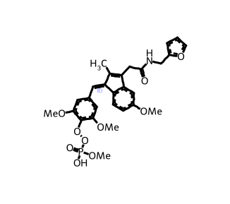 COc1ccc2c(c1)C(CC(=O)NCc1ccco1)=C(C)/C2=C/c1cc(OC)c(OOP(=O)(O)OC)c(OC)c1